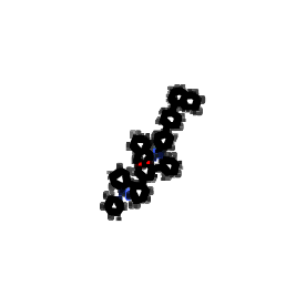 c1ccc(-n2c3ccccc3c3c(-c4cccc(-c5ccccc5N(c5ccc(-c6ccc(-c7cccc8ccccc78)cc6)cc5)c5cccc6ccccc56)c4)cccc32)cc1